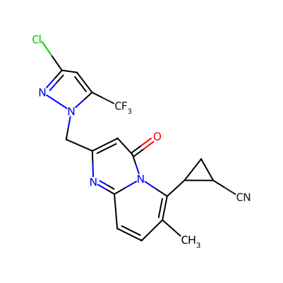 Cc1ccc2nc(Cn3nc(Cl)cc3C(F)(F)F)cc(=O)n2c1C1CC1C#N